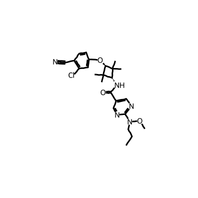 CCCN(OC)c1ncc(C(=O)N[C@H]2C(C)(C)[C@H](Oc3ccc(C#N)c(Cl)c3)C2(C)C)cn1